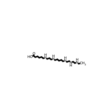 CCNCCNCCNCCCCCNCCCNCCCCCC(=O)O